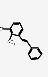 O=[N+]([O-])c1c(Cl)cccc1C=Cc1ccccc1